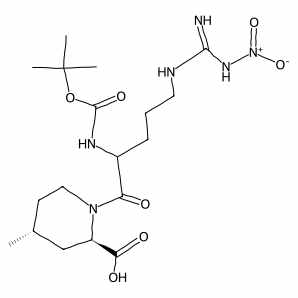 C[C@@H]1CCN(C(=O)C(CCCNC(=N)N[N+](=O)[O-])NC(=O)OC(C)(C)C)[C@@H](C(=O)O)C1